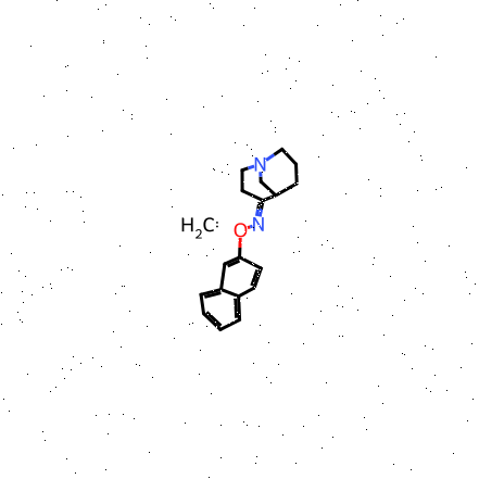 [CH2].c1ccc2cc(ON=C3CCN4CCCC3C4)ccc2c1